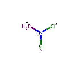 PN(Cl)Cl